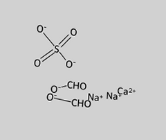 O=C[O-].O=C[O-].O=S(=O)([O-])[O-].[Ca+2].[Na+].[Na+]